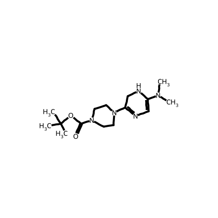 CN(C)C1=CN=C(N2CCN(C(=O)OC(C)(C)C)CC2)CN1